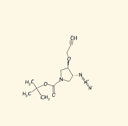 C#CCO[C@@H]1CN(C(=O)OC(C)(C)C)C[C@H]1N=[N+]=[N-]